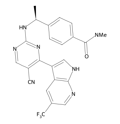 CNC(=O)c1ccc([C@H](C)Nc2ncc(C#N)c(-c3c[nH]c4ncc(C(F)(F)F)cc34)n2)cc1